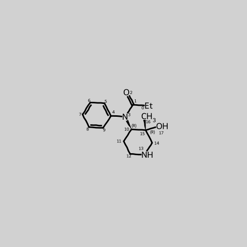 CCC(=O)N(c1ccccc1)[C@@H]1CCNC[C@@]1(C)O